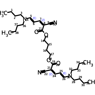 CCCCN(/C=C/C=C(/C#N)C(=O)OCCCCOC(=O)/C(C#N)=C\C=C\N(CCCC)CCCC)CCCC